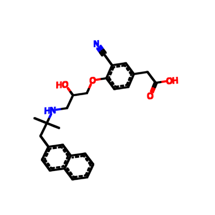 CC(C)(Cc1ccc2ccccc2c1)NCC(O)COc1ccc(CC(=O)O)cc1C#N